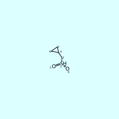 O=[SH](=O)C[C]1CC1